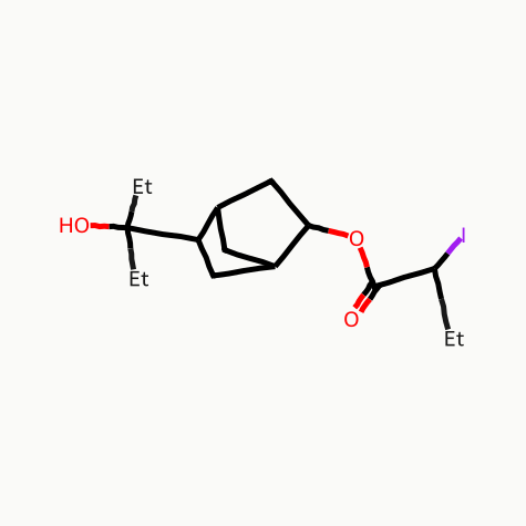 CCC(I)C(=O)OC1CC2CC1CC2C(O)(CC)CC